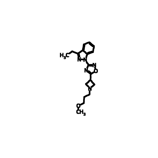 CCc1nn(-c2noc(C3CN(CCCOC)C3)n2)c2ccccc12